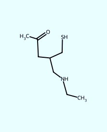 CCNCC(CS)CC(C)=O